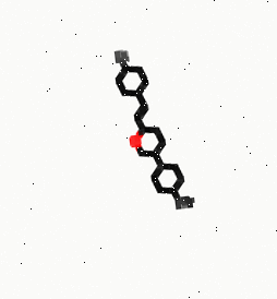 CCCC1CCC(C2CCC(/C=C/C3CCC(CC)CC3)OC2)CC1